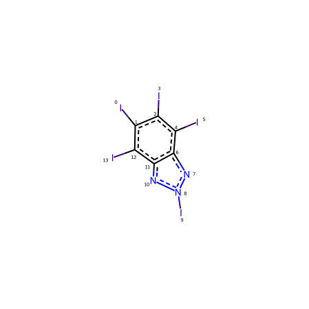 Ic1c(I)c(I)c2nn(I)nc2c1I